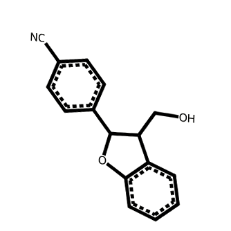 N#Cc1ccc(C2Oc3ccccc3C2CO)cc1